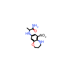 CC(Nc1cc2c(c([N+](=O)[O-])c1)NCCCO2)C(N)=O